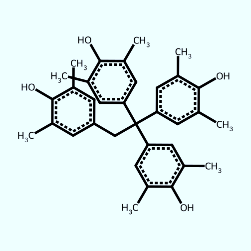 Cc1cc(CC(c2cc(C)c(O)c(C)c2)(c2cc(C)c(O)c(C)c2)c2cc(C)c(O)c(C)c2)cc(C)c1O